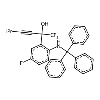 CC(C)C#CC(O)(c1cc(F)ccc1NC(c1ccccc1)(c1ccccc1)c1ccccc1)C(F)(F)F